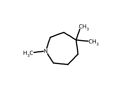 CN1CCCC(C)(C)CC1